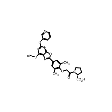 CCCOc1nc(Oc2cccnc2)nc2oc(-c3cc(C)c(OCC(=O)N4CCC[C@H]4C(=O)O)c(C)c3)nc12